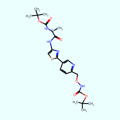 C[C@H](NC(=O)OC(C)(C)C)C(=O)Nc1csc(-c2ccc(CONC(=O)OC(C)(C)C)nc2)n1